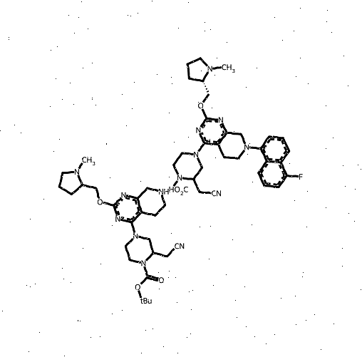 CN1CCCC1COc1nc2c(c(N3CCN(C(=O)OC(C)(C)C)C(CC#N)C3)n1)CCNC2.CN1CCC[C@H]1COc1nc2c(c(N3CCN(C(=O)O)C(CC#N)C3)n1)CCN(c1cccc3c(F)cccc13)C2